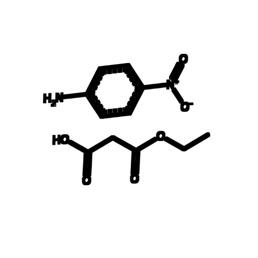 CCOC(=O)CC(=O)O.Nc1ccc([N+](=O)[O-])cc1